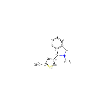 CN1Cc2ccccc2C1c1csc(C=O)c1